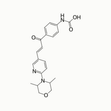 CC1COCC(C)N1c1ccc(C=CC(=O)c2ccc(NC(=O)O)cc2)cn1